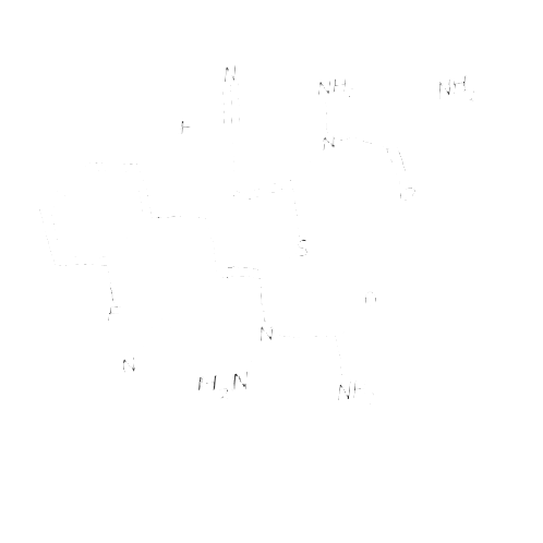 N#CC1=C(N(N)C(N)=O)SC(N(N)C(N)=O)=C(C#N)C1c1c(F)cccc1F